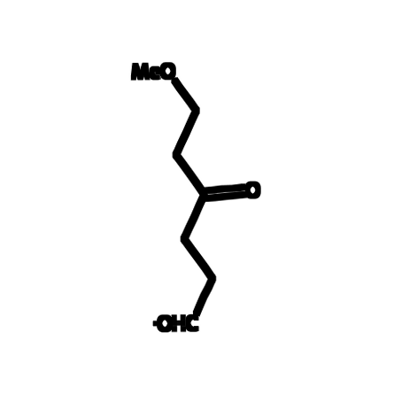 COCCC(=O)CC[C]=O